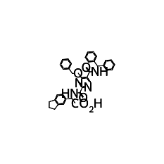 O=C(NC(C(=O)O)c1ccc2c(c1)CCC2)c1ncc(C(=O)NC(c2ccccc2)c2ccccc2)c(OCc2ccccc2)n1